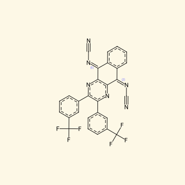 N#C/N=C1/c2ccccc2/C(=N\C#N)c2nc(-c3cccc(C(F)(F)F)c3)c(-c3cccc(C(F)(F)F)c3)nc21